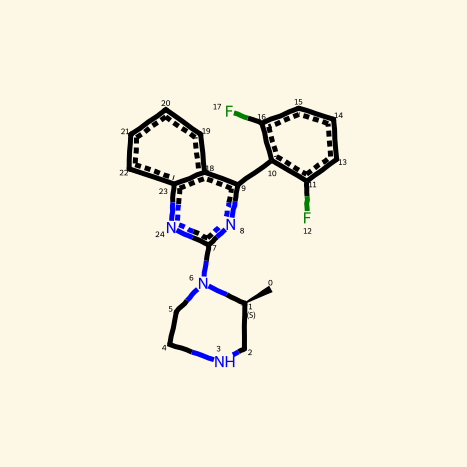 C[C@H]1CNCCN1c1nc(-c2c(F)cccc2F)c2ccccc2n1